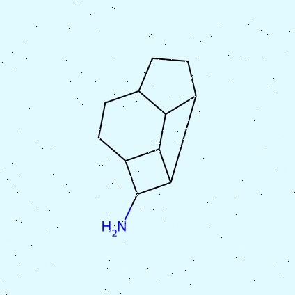 NC1C2CCC3CCC4C3C2C14